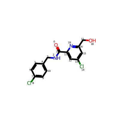 O=C(NCc1ccc(Cl)cc1)c1cc(Cl)cc(CO)n1